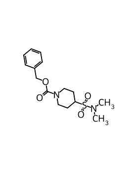 CN(C)S(=O)(=O)C1CCN(C(=O)OCc2ccccc2)CC1